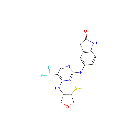 CSC1COCC1Nc1nc(Nc2ccc3c(c2)CC(=O)N3)ncc1C(F)(F)F